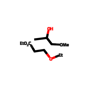 CCOCCC(=O)OCC.COCC(C)O